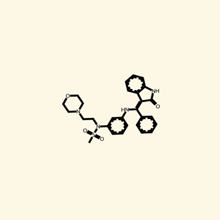 CS(=O)(=O)N(CCN1CCOCC1)c1cccc(NC(=C2C(=O)Nc3ccccc32)c2ccccc2)c1